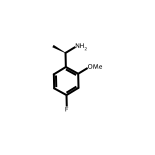 COc1cc(F)ccc1[C@@H](C)N